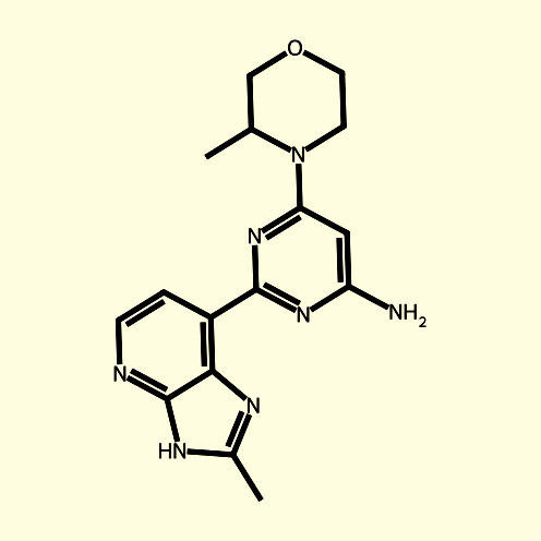 Cc1nc2c(-c3nc(N)cc(N4CCOCC4C)n3)ccnc2[nH]1